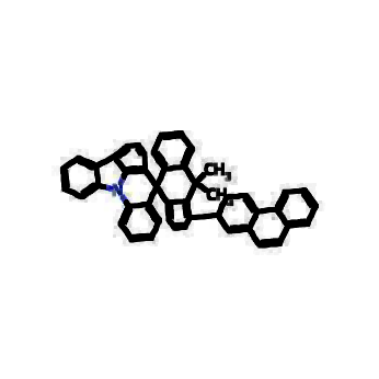 CC1(C)c2ccccc2C2(c3ccccc3-n3c4ccccc4c4cccc2c43)c2cccc(C3C=c4ccc5ccccc5c4=CC3)c21